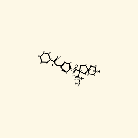 O=C(Nc1ccc(S(=O)(=O)C2(C(=O)NO)CCC3(CCNCC3)C2)cc1)C1CCCCC1